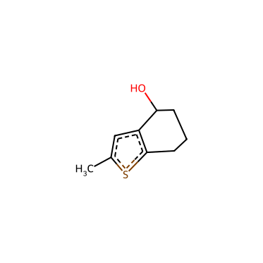 Cc1cc2c(s1)CCCC2O